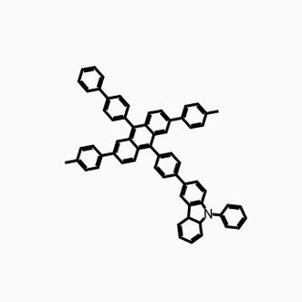 Cc1ccc(-c2ccc3c(-c4ccc(-c5ccc6c(c5)C5C=CC=CC5N6c5ccccc5)cc4)c4cc(-c5ccc(C)cc5)ccc4c(-c4ccc(-c5ccccc5)cc4)c3c2)cc1